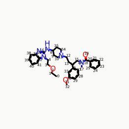 CCOCCn1c(NC2CCN(CCC(CN(C)C(=O)c3ccccc3)c3cccc(OC)c3)CC2)nc2ccccc21